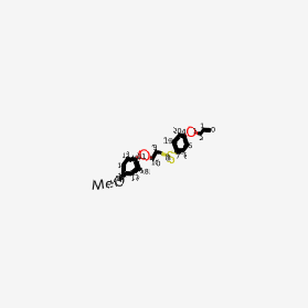 C=CCOc1ccc(SCCOc2ccc(OC)cc2)cc1